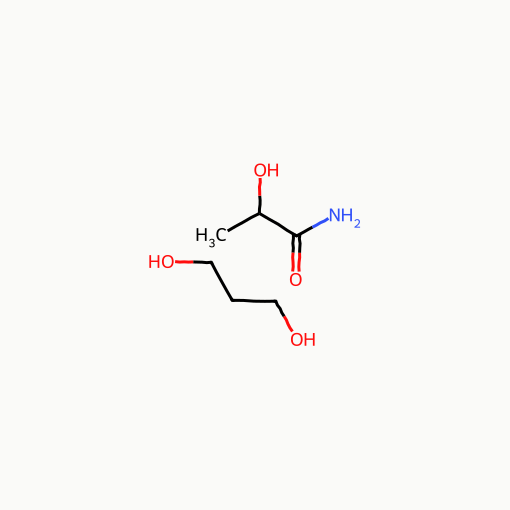 CC(O)C(N)=O.OCCCO